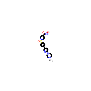 CN1CCCN(c2ccc(-c3ccc([S+]([O-])N4CC=C(C(=O)NO)CC4)cc3)cn2)CC1